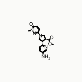 COC(=O)[C@@H]1CN(c2ccc(=O)n(C)n2)C[C@H]1c1ccc(N)cn1